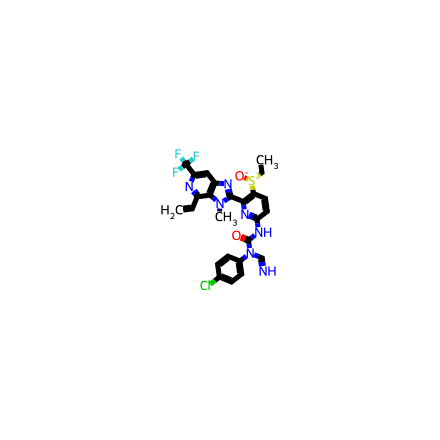 C=Cc1nc(C(F)(F)F)cc2nc(-c3nc(NC(=O)N(C=N)c4ccc(Cl)cc4)ccc3[S+]([O-])CC)n(C)c12